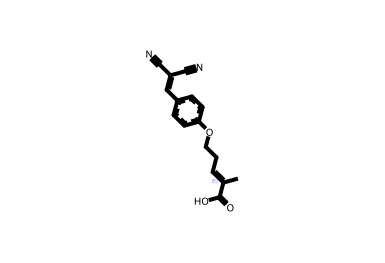 C/C(=C\CCOc1ccc(C=C(C#N)C#N)cc1)C(=O)O